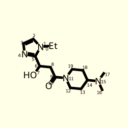 CCn1ccnc1C(O)CC(=O)N1CCC(N(C)C)CC1